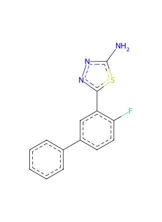 Nc1nnc(-c2cc(-c3ccccc3)ccc2F)s1